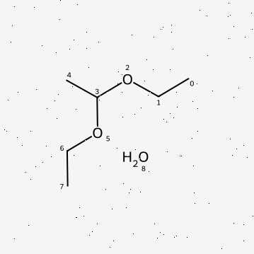 CCOC(C)OCC.O